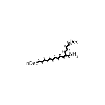 CCCCCCCCCCCCCCCCCCCCC(CN)CCCCCCCCCCCCCC